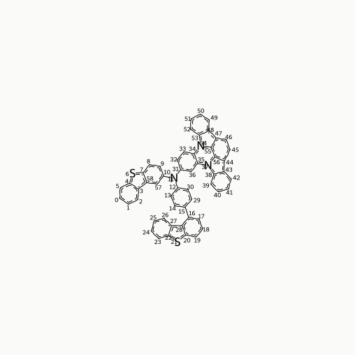 c1ccc2c(c1)sc1ccc(N(c3ccc(-c4cccc5sc6ccccc6c45)cc3)c3ccc4c(c3)n3c5ccccc5c5ccc6c7ccccc7n4c6c53)cc12